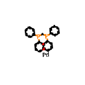 [Pd].c1ccc(P(CP(c2ccccc2)c2ccccc2)c2ccccc2)cc1